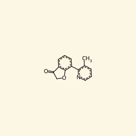 Cc1cccnc1-c1cccc2c1OCC2=O